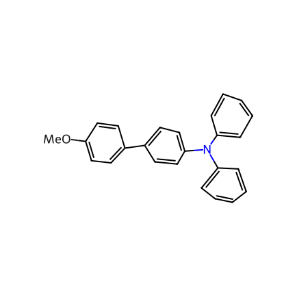 COc1ccc(-c2ccc(N(c3ccccc3)c3ccccc3)cc2)cc1